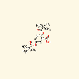 CC(C)(C)C(=O)Oc1ccc(OC(=O)C(C)(C)C)c(C(=O)O)c1